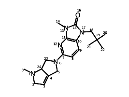 CN1CC=C2CN(c3ccc4c(n3)n(C)c(=O)n4CC(C)(C)C)CC21